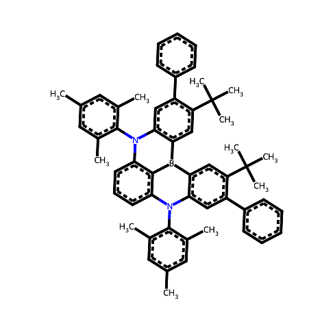 Cc1cc(C)c(N2c3cc(-c4ccccc4)c(C(C)(C)C)cc3B3c4cc(C(C)(C)C)c(-c5ccccc5)cc4N(c4c(C)cc(C)cc4C)c4cccc2c43)c(C)c1